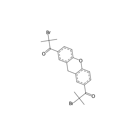 CC(C)(Br)C(=O)c1ccc2c(c1)Cc1cc(C(=O)C(C)(C)Br)ccc1O2